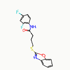 O=C(CCCSc1nc2ccccc2o1)Nc1ccc(F)cc1F